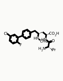 CC(C)[C@H](N)C(=O)N[C@H](C[C@@H](Cc1ccc(-c2cc(Cl)ccc2F)cc1)NC=O)C(=O)O